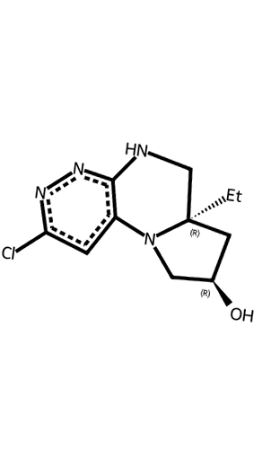 CC[C@@]12CNc3nnc(Cl)cc3N1C[C@H](O)C2